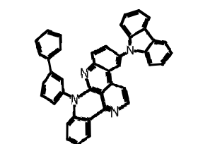 c1ccc(-c2cccc(N3c4ccccc4-c4nccc5c4c3nc3ccc(-n4c6ccccc6c6ccccc64)cc35)c2)cc1